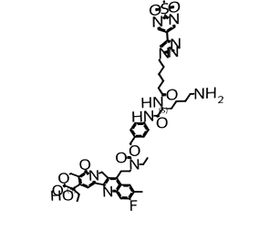 CCN(CCc1c2c(nc3cc(F)c(C)cc13)-c1cc3c(c(=O)n1C2)COC(=O)[C@]3(O)CC)C(=O)OCc1ccc(NC(=O)[C@H](CCCCN)NC(=O)CCCCCn2cc(-c3cnc(S(C)(=O)=O)nc3)nn2)cc1